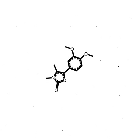 COc1ccc(-c2oc(=O)n(C)c2C)cc1OC